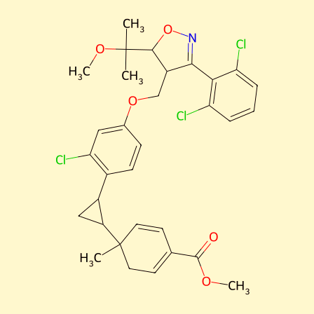 COC(=O)C1=CCC(C)(C2CC2c2ccc(OCC3C(c4c(Cl)cccc4Cl)=NOC3C(C)(C)OC)cc2Cl)C=C1